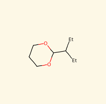 CCC(CC)C1OCCCO1